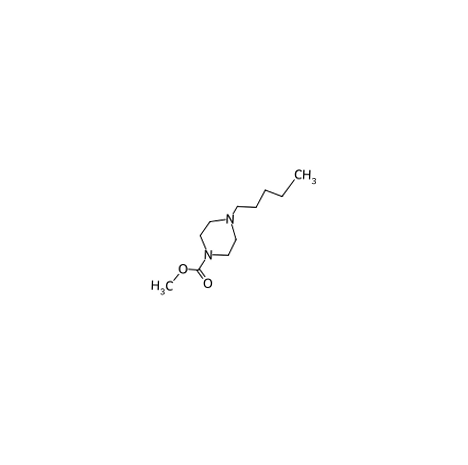 CCCCCN1CCN(C(=O)OC)CC1